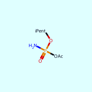 CCCC(C)OP(N)(=O)OC(C)=O